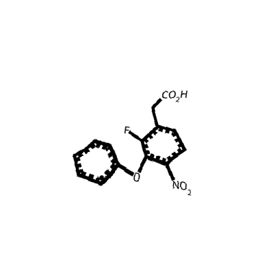 O=C(O)Cc1ccc([N+](=O)[O-])c(Oc2ccccc2)c1F